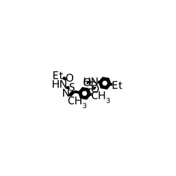 CCC(=O)Nc1nc(C)c(-c2ccc(C)c(S(=O)(=O)Nc3ccc(CC)cc3)c2)s1